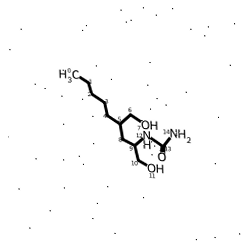 CCCCCC(CO)CC(CO)NC(N)=O